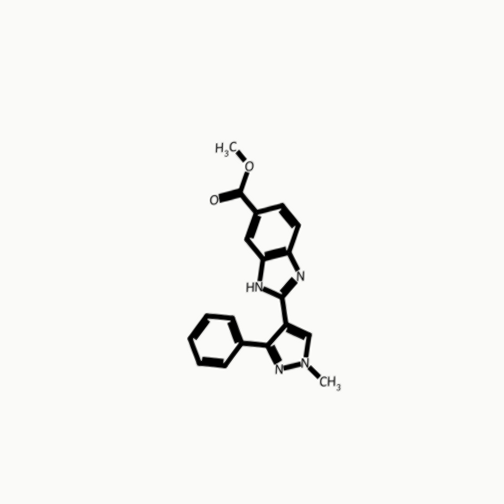 COC(=O)c1ccc2nc(-c3cn(C)nc3-c3ccccc3)[nH]c2c1